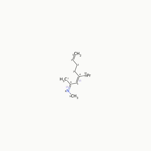 C=CCC/C(=C\C(C)=N/C)CCC